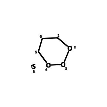 C1COOOC1.[S]